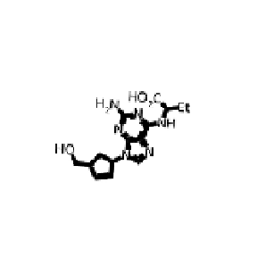 CCC(Nc1nc(N)nc2c1ncn2C1C=CC(CO)C1)C(=O)O